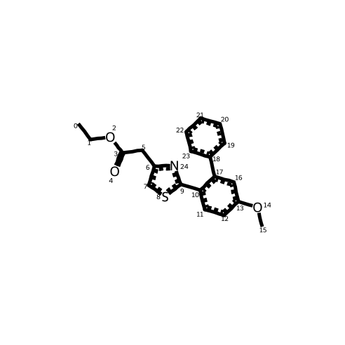 CCOC(=O)Cc1csc(-c2ccc(OC)cc2-c2ccccc2)n1